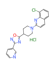 Cl.Clc1cccc2ccc(N3CCC(c4nc(-c5cccnc5)no4)CC3)nc12